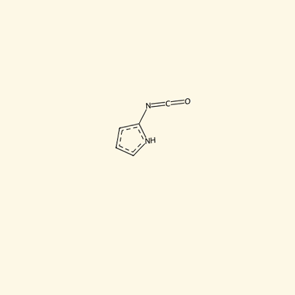 O=C=Nc1ccc[nH]1